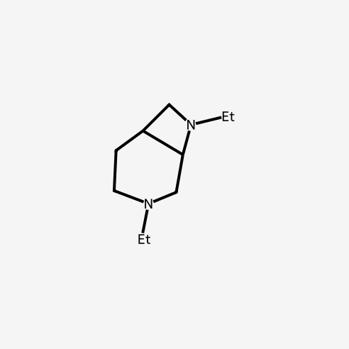 CCN1CCC2CN(CC)C2C1